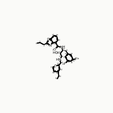 CCCc1nc2c(C(=O)N[C@@H](Cc3cc(F)cc(F)c3)[C@@H](O)CNCc3cccc(CC)c3)cccc2o1